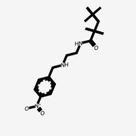 CC(C)(C)CC(C)(C)C(=O)NCCNCc1ccc([N+](=O)[O-])cc1